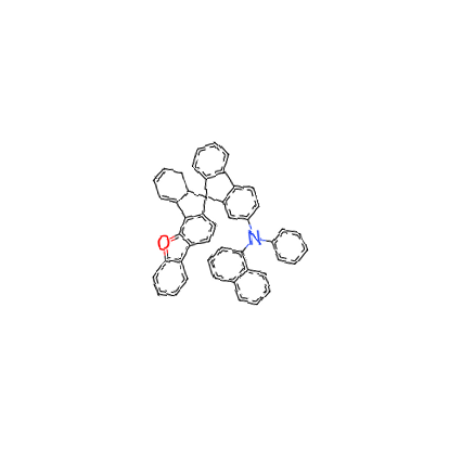 C1=CCC2C(=C1)c1c(ccc3c1oc1ccccc13)C21c2ccccc2-c2ccc(N(c3ccccc3)c3cccc4ccccc34)cc21